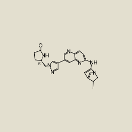 CC1Cn2cc1cc2Nc1ccc2ncc(-c3cnn(C[C@H]4CCC(=O)N4)c3)cc2n1